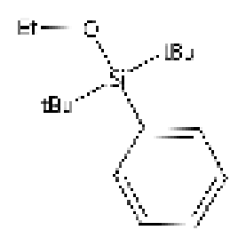 CCO[Si](c1ccccc1)(C(C)(C)C)C(C)(C)C